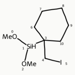 CO[SiH](OC)C1(CI)CCCCC1